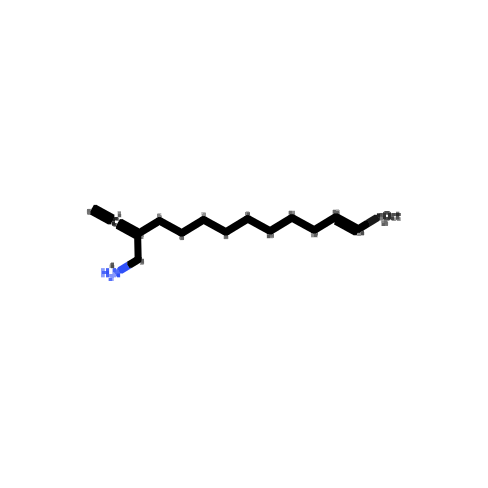 C=C=C(CN)CCCCCCCCC=CCCCCCCCC